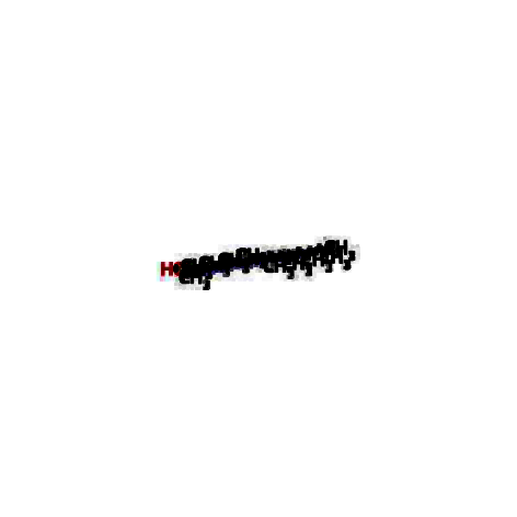 CC(C)=CCC/C(C)=C/CC/C(C)=C/CC/C(C)=C/C=C/C=C(C)/C=C/C=C(C)/C=C/C=C(\C)CCCC(C)(C)O